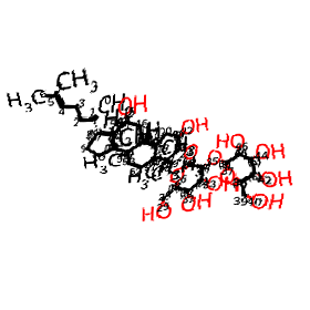 C=C(CCC=C(C)C)[C@H]1CC[C@]2(C)[C@@H]1[C@H](O)C[C@@H]1[C@@]3(C)C[C@@H](O)[C@H](O[C@H]4O[C@H](CO)[C@@H](O)[C@H](O)[C@H]4O[C@@H]4O[C@H](CO)[C@@H](O)[C@H](O)[C@H]4O)C(C)(C)[C@]3(C)CC[C@]12C